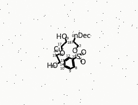 CCCCCCCCCCCCOS(=O)(=O)c1ccccc1.OCCOCCO.[Cu]